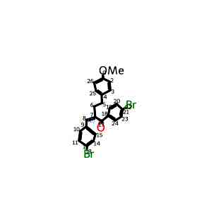 COc1ccc(CC/C(=C/c2ccc(Br)cc2)C(=O)c2ccc(Br)cc2)cc1